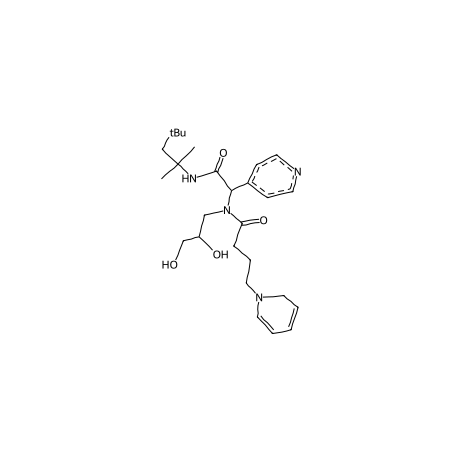 CC(C)(C)CC(C)(C)NC(=O)C(c1ccncc1)N(CC(O)CO)C(=O)CCCN1C=CC=CC1